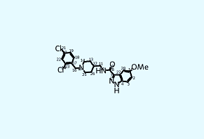 COc1ccc2[nH]nc(C(=O)NCC3CCN(Cc4ccc(Cl)cc4Cl)CC3)c2c1